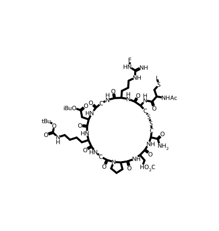 CC(=O)NC(CSI)C(=O)NC1CSSCC(C(N)=O)NC(=O)C(CC(=O)O)NC(=O)C2CCCN2C(=O)CNC(=O)C(CCCCNC(=O)OC(C)(C)C)NC(=O)C(CC(=O)OCC(C)C)NC(=O)CNC(=O)C(CCCNC(=N)NF)NC1=O